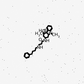 CN1c2ccccc2C2(C)C1CC(NC(=O)CCNCCCCc1ccccc1)CC2(C)C